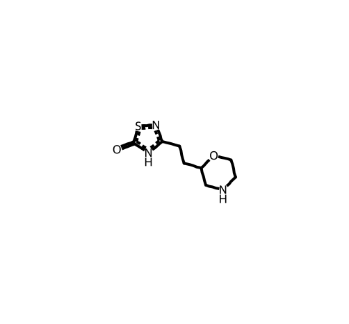 O=c1[nH]c(CCC2CNCCO2)ns1